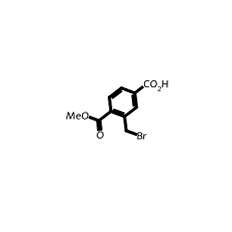 COC(=O)c1ccc(C(=O)O)cc1CBr